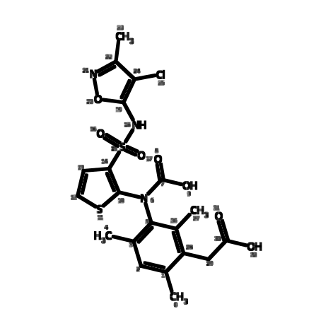 Cc1cc(C)c(N(C(=O)O)c2sccc2S(=O)(=O)Nc2onc(C)c2Cl)c(C)c1CC(=O)O